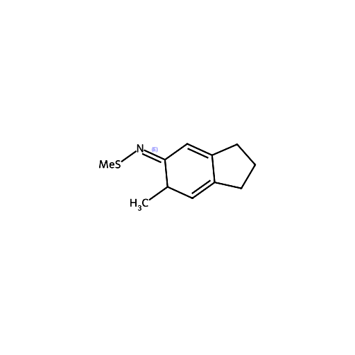 CS/N=C1/C=C2CCCC2=CC1C